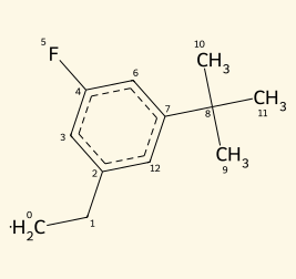 [CH2]Cc1cc(F)cc(C(C)(C)C)c1